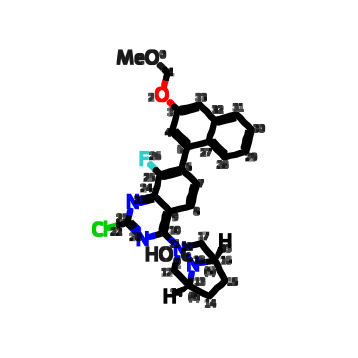 COCOc1cc(-c2ccc3c(N4C[C@H]5CC[C@@H](C4)N5C(=O)O)nc(Cl)nc3c2F)c2ccccc2c1